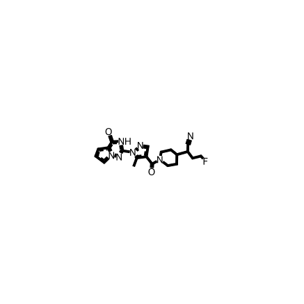 Cc1c(C(=O)N2CCC(C(C#N)CCF)CC2)cnn1-c1nn2cccc2c(=O)[nH]1